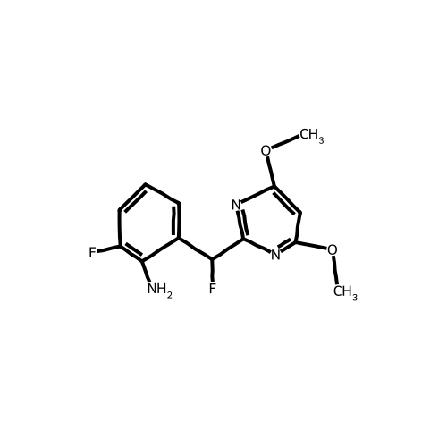 COc1cc(OC)nc(C(F)c2cccc(F)c2N)n1